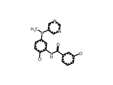 CN(c1cncnc1)c1ccc(Cl)c(NC(=O)c2cccc(Cl)c2)c1